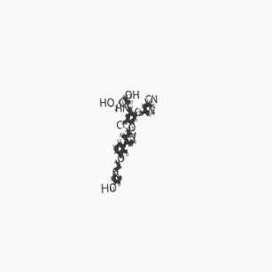 Cc1c(OCCCN2CCC(O)C2)cccc1-c1ccnc(COc2cc(OCc3cncc(C#N)c3)c(CNC(C)(CO)C(=O)O)cc2Cl)c1C